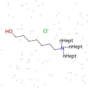 CCCCCCC[N+](CCCCCCC)(CCCCCCC)CCCCCCCO.[Cl-]